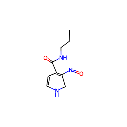 CCCNC(=O)C1=C(N=O)CNC=C1